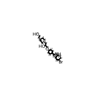 OCCN1CCN(CC(O)COc2ccc(-c3nc4cc(Br)cnc4[nH]3)cc2)CC1